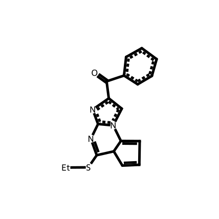 CCSC1=Nc2nc(C(=O)c3ccccc3)cn2C2=CC=CC21